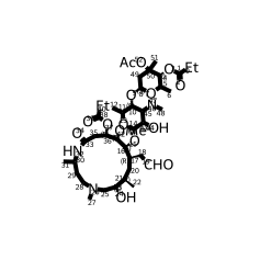 CCC(=O)O[C@@H]1C(C)O[C@@H](O[C@@H]2C(C)O[C@@H](O[C@H]3[C@@H](CC=O)C[C@@H](C)[C@@H](O)CN(C)CCC(C)NC(=O)C[C@@H](OC(=O)CC)[C@@H]3OC)C(O)C2N(C)C)CC1(C)OC(C)=O